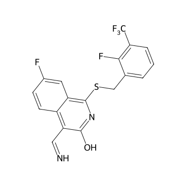 N=Cc1c(O)nc(SCc2cccc(C(F)(F)F)c2F)c2cc(F)ccc12